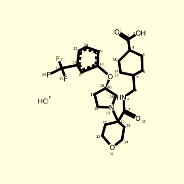 Cl.O=C(O)C1CCC(CNC(=O)C2(N3CC[C@@H](Oc4cccc(C(F)(F)F)c4)C3)CCOCC2)CC1